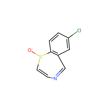 [O-][S+]1C=CN=Cc2cc(Cl)ccc21